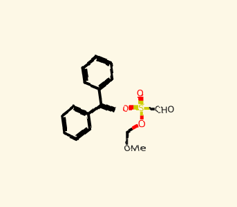 C=C(c1ccccc1)c1ccccc1.COCOS(=O)(=O)C=O